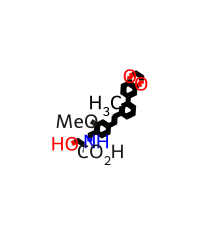 COc1cc(/C=C/c2cccc(-c3ccc4c(c3)OCCO4)c2C)ccc1CN[C@@H](CO)C(=O)O